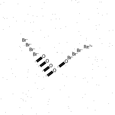 [Br-].[Br-].[Br-].[Br-].[Br-].[Br-].[Br-].[C]=O.[C]=O.[C]=O.[C]=O.[C]=O.[Re+7]